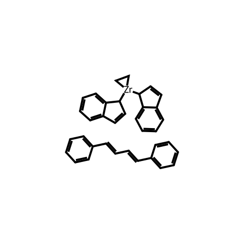 C(C=Cc1ccccc1)=Cc1ccccc1.C1=C[CH]([Zr]2([CH]3C=Cc4ccccc43)[CH2][CH2]2)c2ccccc21